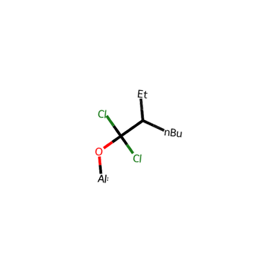 CCCCC(CC)C(Cl)(Cl)[O][Al]